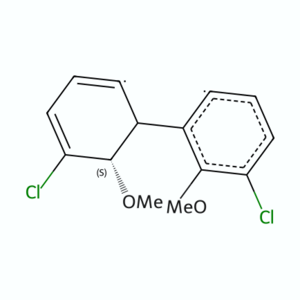 COc1c(C2[C]=CC=C(Cl)[C@H]2OC)[c]ccc1Cl